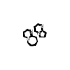 C1CCC2=NCCCN2CC1.C1CN=C2CCCN2C1